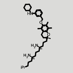 Cc1c(C)c2c(c(C)c1OCc1cccc(NC3CCCCC3)c1)CC[C@@](C)(CCC[C@H](N)CCC[C@H](N)CCCC(C)C)O2